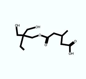 CCC(CO)(CO)COC(=O)CC(C)CC(=O)O